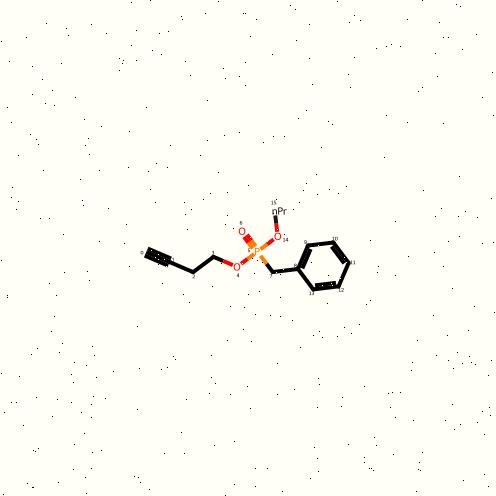 C#CCCOP(=O)(Cc1ccccc1)OCCC